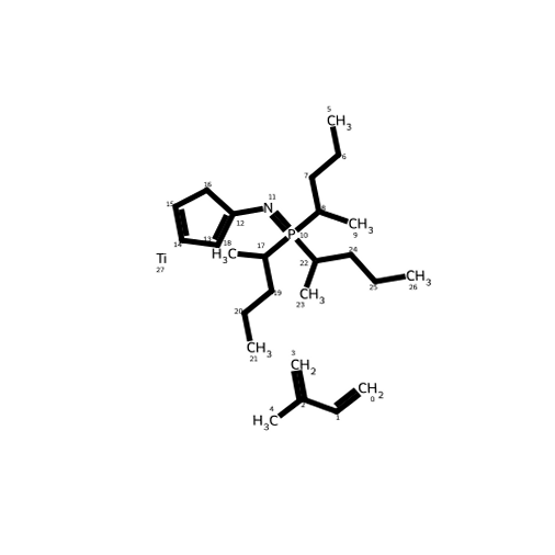 C=CC(=C)C.CCCC(C)P(=NC1=CC=CC1)(C(C)CCC)C(C)CCC.[Ti]